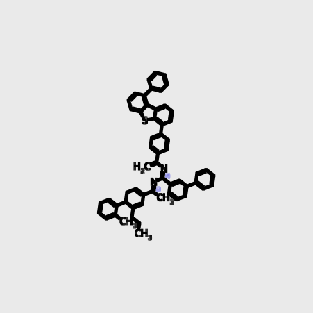 C=C(/N=C(\N=C(/C)C1=CCC(c2ccccc2C)C(CCC)=C1)c1cccc(-c2ccccc2)c1)c1ccc(-c2cccc3c2sc2cccc(-c4ccccc4)c23)cc1